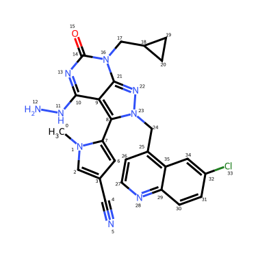 Cn1cc(C#N)cc1-c1c2c(NN)nc(=O)n(CC3CC3)c2nn1Cc1ccnc2ccc(Cl)cc12